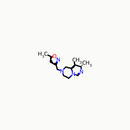 CC1=C2CN(Cc3cc(C)on3)CCN2C=N[C@H]1C